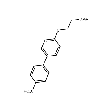 COCCOc1ccc(-c2ccc(C(=O)O)cc2)cc1